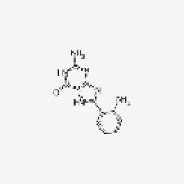 Nc1nc2nc(-c3ccccc3N)[nH]c2c(=O)[nH]1